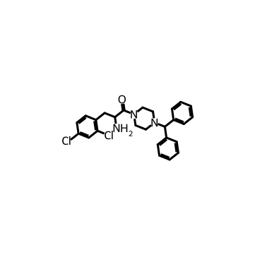 NC(Cc1ccc(Cl)cc1Cl)C(=O)N1CCN(C(c2ccccc2)c2ccccc2)CC1